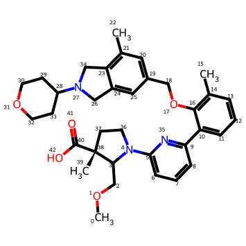 COCC1N(c2cccc(-c3cccc(C)c3OCc3cc(C)c4c(c3)CN(C3CCOCC3)C4)n2)CC[C@@]1(C)C(=O)O